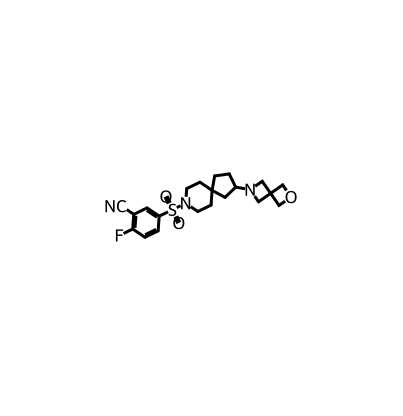 N#Cc1cc(S(=O)(=O)N2CCC3(CCC(N4CC5(COC5)C4)C3)CC2)ccc1F